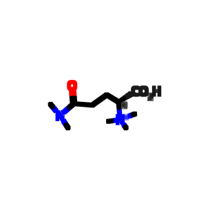 CN(C)C(=O)CC[C@@H](C(=O)O)[N+](C)(C)C